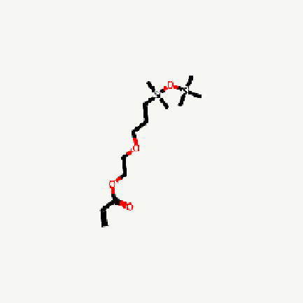 C=CC(=O)OCCOCCC[Si](C)(C)O[Si](C)(C)C